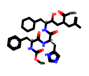 C=C(C)CC(CC(O)[C@H](CC1CCCCC1)NC(=O)[C@H](Cc1cnc[nH]1)NC(=O)[C@H](Cc1ccccc1)NC(=O)OC(C)(C)C)C(=O)NC